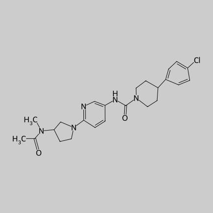 CC(=O)N(C)C1CCN(c2ccc(NC(=O)N3CCC(c4ccc(Cl)cc4)CC3)cn2)C1